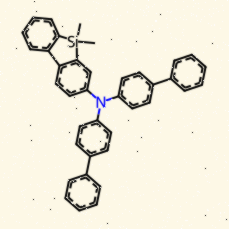 C[Si]1(C)c2ccccc2-c2ccc(N(c3ccc(-c4ccccc4)cc3)c3ccc(-c4ccccc4)cc3)cc21